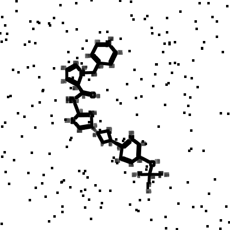 O=C(Nc1nc([C@H]2C[C@H](c3ccc(OC(F)(F)F)cn3)C2)cs1)c1cccn1Cc1ccncc1